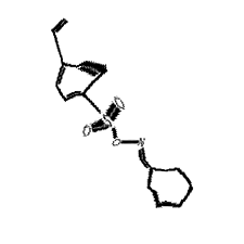 C=Cc1ccc(S(=O)(=O)ON=C2CCCCC2)cc1